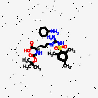 Cc1cc(C)c(S(=O)(=O)NC(N)=NCCC[C@H](NC(=O)OC(C)(C)C)C(=O)O)c(C)c1.NC1CCCCC1